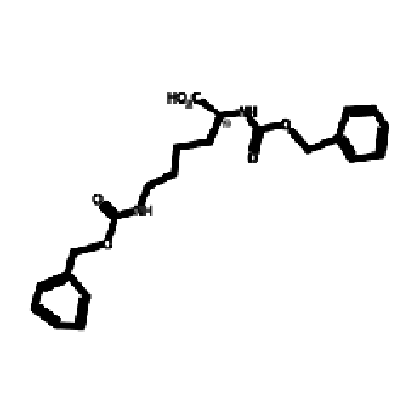 O=C(NCCCC[C@H](NC(=O)OCc1ccccc1)C(=O)O)OCc1ccccc1